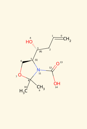 C=CC[C@@H](O)[C@@H]1COC(C)(C)N1C(=O)O